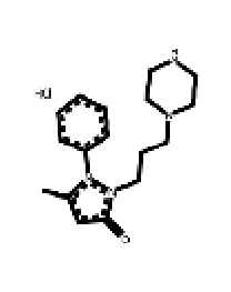 Cc1cc(=O)n(CCCN2CCNCC2)n1-c1ccccc1.Cl